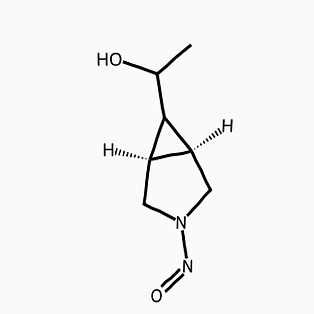 CC(O)C1[C@H]2CN(N=O)C[C@@H]12